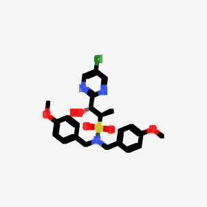 COc1ccc(CN(Cc2ccc(OC)cc2)S(=O)(=O)[C@H](C)[C@H](O)c2ncc(Cl)cn2)cc1